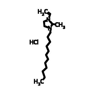 C=CN1CCN(CCCCCCCCCCCC)C1C.Cl